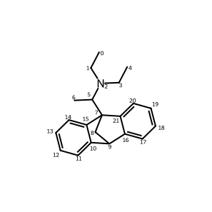 CCN(CC)C(C)C12CC(c3ccccc31)c1ccccc12